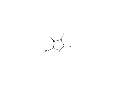 CC(C)C1SC(C)N(C)N1C